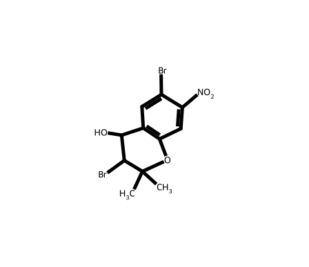 CC1(C)Oc2cc([N+](=O)[O-])c(Br)cc2C(O)C1Br